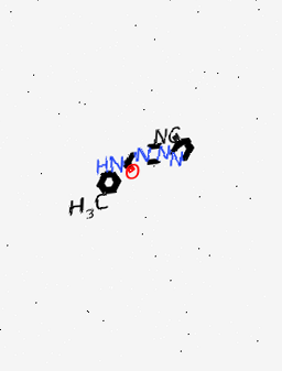 Cc1ccc(NC(=O)CN2CCN(c3ncccc3C#N)CC2)cc1